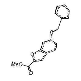 COC(=O)c1cc2ccc(OCc3ccccc3)cc2o1